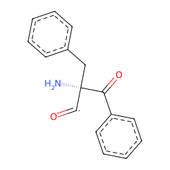 N[C@]([C]=O)(Cc1ccccc1)C(=O)c1ccccc1